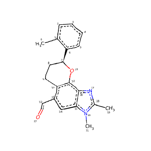 Cc1ccccc1[C@@H]1CCc2c(C=O)cc3c(nc(C)n3C)c2O1